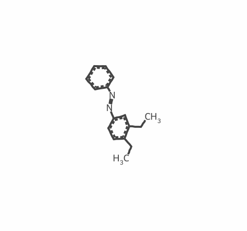 CCc1ccc(N=Nc2ccccc2)cc1CC